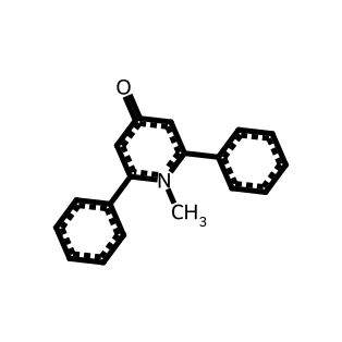 Cn1c(-c2ccccc2)cc(=O)cc1-c1ccccc1